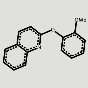 COc1ccccc1Oc1ccc2c[c]ccc2n1